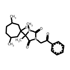 CCC1(C2(C)C(=O)N(CC(=O)c3ccccc3)C(=O)N2C)CC(C)CCC(C)C1